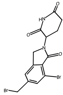 O=C1CCC(N2Cc3cc(CBr)cc(Br)c3C2=O)C(=O)N1